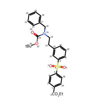 CCOC(=O)c1ccc(S(=O)(=O)c2cccc(CCN(Cc3ccccc3)C(=O)OC(C)(C)C)c2)cc1